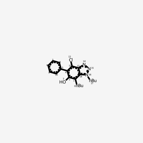 CCCCc1c(O)c(-c2ccccc2)c(Cl)c2nnn(CCCC)c12